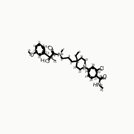 CCC1(CCCN(C)C(=O)[C@](C)(O)c2cccc(OC)c2)CCN(c2ccc(C(=O)NC)c(Cl)c2)CC1